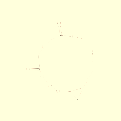 O=C1CCCCCCC2CC2OOOC(=O)CCC1